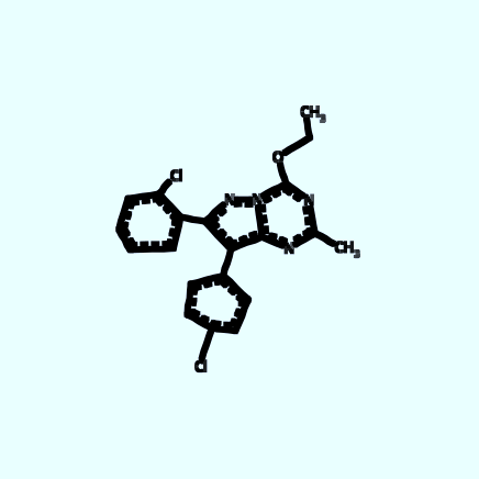 CCOc1nc(C)nc2c(-c3ccc(Cl)cc3)c(-c3ccccc3Cl)nn12